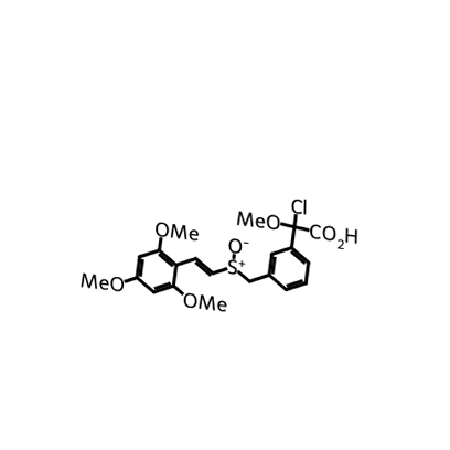 COc1cc(OC)c(C=C[S+]([O-])Cc2cccc(C(Cl)(OC)C(=O)O)c2)c(OC)c1